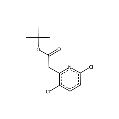 CC(C)(C)OC(=O)Cc1nc(Cl)ccc1Cl